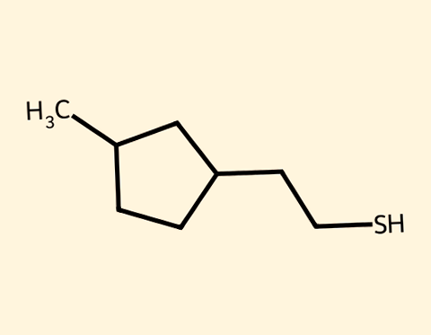 CC1CCC(CCS)C1